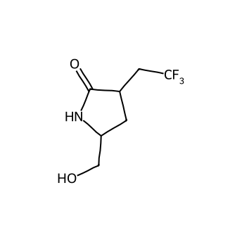 O=C1NC(CO)CC1CC(F)(F)F